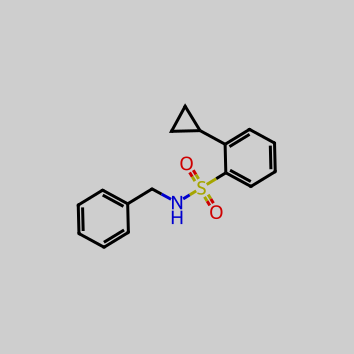 O=S(=O)(NCc1ccccc1)c1ccccc1C1CC1